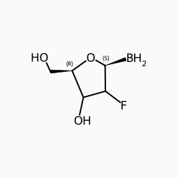 B[C@@H]1O[C@H](CO)C(O)C1F